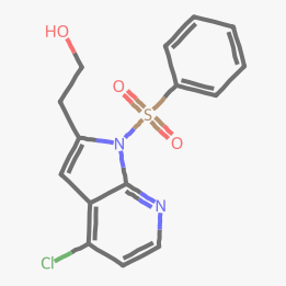 O=S(=O)(c1ccccc1)n1c(CCO)cc2c(Cl)ccnc21